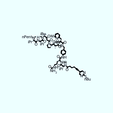 CCCCCN(C)[C@H](C(=O)N[C@H](C(=O)N(C)[C@@H]([C@@H](C)CC)[C@@H](CC(=O)N1CCC[C@H]1[C@H](OC)[C@@H](C)C(=O)N[C@@H](Cc1ccccn1)C(=O)NCc1ccc(NC(=O)[C@H](CCCNC(N)=O)NC(=O)[C@@H](NC(=O)CCCC#Cc2cnc(SCCCC)nc2)C(C)C)cc1)OC)C(C)C)C(C)C